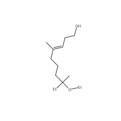 CCOC(C)(CC)CCCC(C)=CCCO